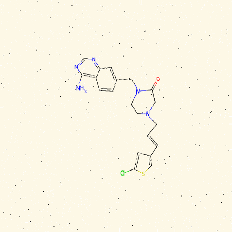 Nc1ncnc2cc(CN3CCN(CC=Cc4csc(Cl)c4)CC3=O)ccc12